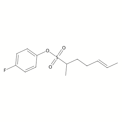 CC=CCCC(C)S(=O)(=O)Oc1ccc(F)cc1